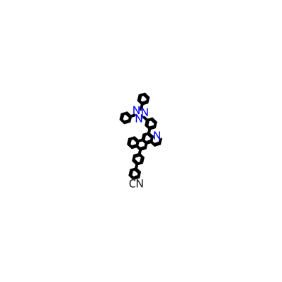 N#Cc1ccc(-c2ccc(-c3cc4c5cccnc5c(-c5cccc(-c6nc(-c7ccccc7)nc(-c7ccccc7)n6)c5)cc4c4ccccc34)cc2)cc1